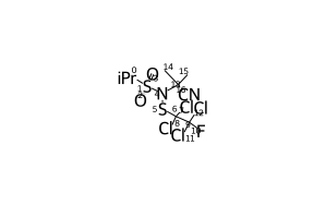 CC(C)S(=O)(=O)N(SC(Cl)(Cl)C(F)(Cl)Cl)C(C)(C)C#N